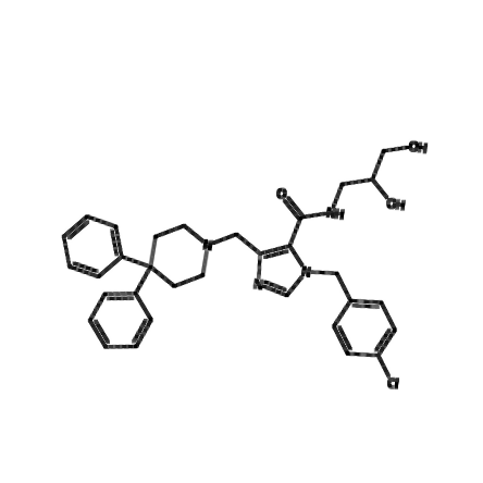 O=C(NCC(O)CO)c1c(CN2CCC(c3ccccc3)(c3ccccc3)CC2)ncn1Cc1ccc(Cl)cc1